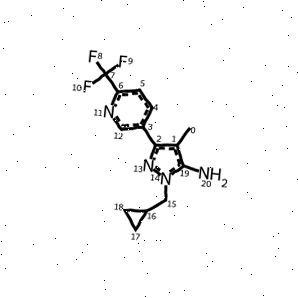 Cc1c(-c2ccc(C(F)(F)F)nc2)nn(CC2CC2)c1N